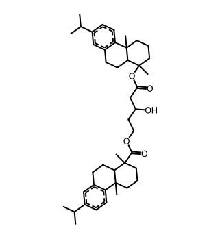 CC(C)c1ccc2c(c1)CCC1C(C)(OC(=O)CC(O)CCOC(=O)C3(C)CCCC4(C)c5ccc(C(C)C)cc5CCC34)CCCC21C